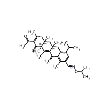 C=C1C2=C(C)[C@]3(C)C(=O)C(C(C)=O)=C(C)C[C@]3(C)C[C@]2(C)Cc2c(C(C)C)cc(/C=N/OC(C)C)c(C)c21